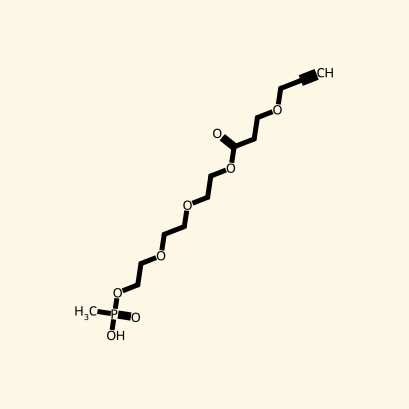 C#CCOCCC(=O)OCCOCCOCCOP(C)(=O)O